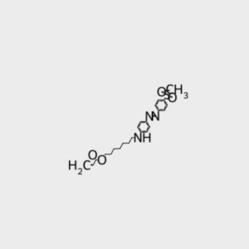 C=CC(=O)OCCCCCCCNc1ccc(N=Nc2ccc(S(C)(=O)=O)cc2)cc1